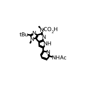 CC(=O)Nc1cccc(-c2cc3c(nc(N(C)C(=O)O)c4nc(C(C)(C)C)n(C)c43)[nH]2)n1